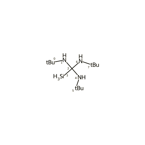 CC(C)(C)NC([SiH3])(NC(C)(C)C)NC(C)(C)C